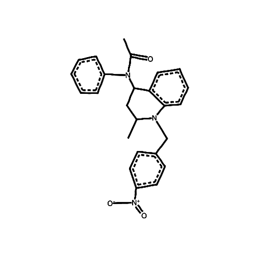 CC(=O)N(c1ccccc1)C1CC(C)N(Cc2ccc([N+](=O)[O-])cc2)c2ccccc21